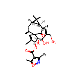 CC1=CC23C(=O)[C@@H](C=C(CO)[C@@H](O)[C@]2(O)[C@H]1OC(=O)c1c(C(C)C)noc1C)[C@H]1[C@@H](CC3C)C1(C)C